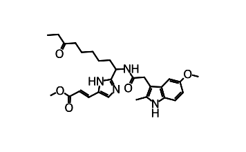 CCC(=O)CCCCCC(NC(=O)Cc1c(C)[nH]c2ccc(OC)cc12)c1ncc(C=CC(=O)OC)[nH]1